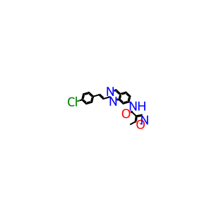 Cc1oncc1C(=O)Nc1ccc2cnc(C=Cc3ccc(Cl)cc3)nc2c1